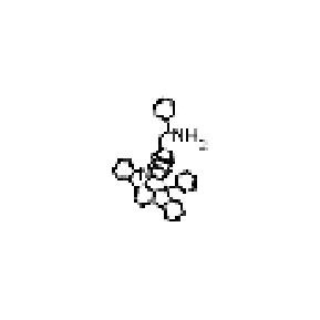 N[C@H](Cc1cccc(-n2c3ccccc3c3ccc4c(c32)C(c2ccccc2)(c2ccccc2)c2ccccc2-4)c1)c1ccccc1